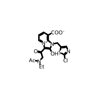 CCN(CC(=O)c1c(O)n(Cc2cnc(Cl)s2)c2c(C(=O)[O-])ccc[n+]12)C(C)=O